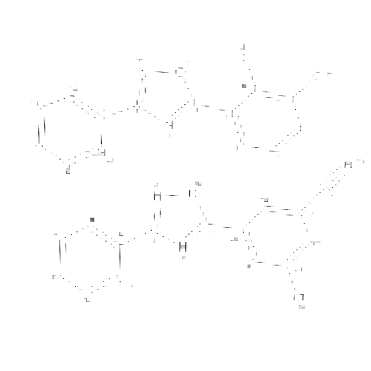 Clc1cccc(-c2nc(-c3ccccn3)no2)c1Cl.N#Cc1cc(Cl)cc(-c2nc(-c3ccccn3)no2)c1